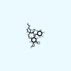 CCCCC1(CC)CSc2cc(OC)c(Cl)cc2N(c2ccccc2)C1=O